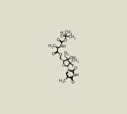 Cc1cn([C@@H]2O[C@@H](COC(=O)C(C)NC(=O)OC(C)(C)C)[C@](C)(O)[C@@]2(C)F)c(=O)[nH]c1=O